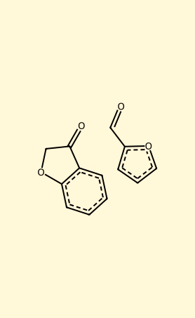 O=C1COc2ccccc21.O=Cc1ccco1